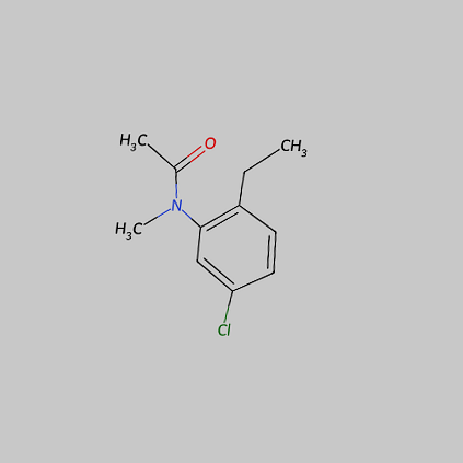 CCc1ccc(Cl)cc1N(C)C(C)=O